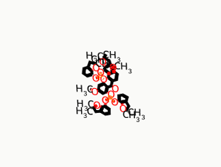 COc1ccc(C(=O)c2ccc(OC)cc2OP(Oc2cccc3c2OC(C)(C)C3)Oc2cccc3c2OC(C)(C)C3)c(OP(Oc2cccc3c2OC(C)(C)C3)Oc2cccc3c2OC(C)(C)C3)c1